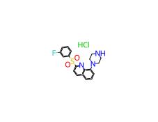 Cl.O=S(=O)(c1cccc(F)c1)c1ccc2cccc(N3CCNCC3)c2n1